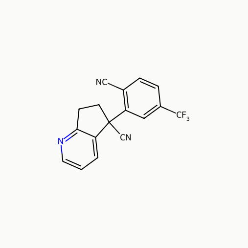 N#Cc1ccc(C(F)(F)F)cc1C1(C#N)CCc2ncccc21